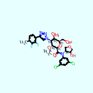 CO[C@@H]1[C@@H](n2cc(-c3ccc(C)c(F)c3F)nn2)[C@@H](O)[C@@H](CO)O[C@H]1C(=O)N(c1cc(Cl)cc(Cl)c1)[C@@H]1COC[C@H]1O